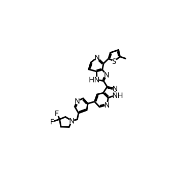 Cc1ccc(-c2nccc3[nH]c(-c4n[nH]c5ncc(-c6cncc(CN7CCC(F)(F)C7)c6)cc45)nc23)s1